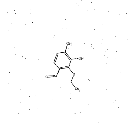 CCOc1c(C=O)ccc(O)c1O